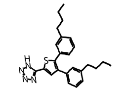 CCCCc1cccc(-c2cc(-c3nnn[nH]3)sc2-c2cccc(CCCC)c2)c1